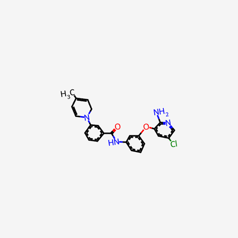 CC1=CCN(c2cccc(C(=O)Nc3cccc(Oc4cc(Cl)cnc4N)c3)c2)C=C1